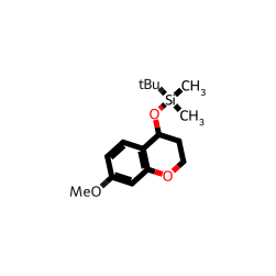 COc1ccc2c(c1)OCCC2O[Si](C)(C)C(C)(C)C